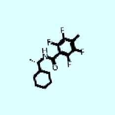 Cc1c(F)c(F)c(C(=O)N[C@@H](C)C2CCCCC2)c(F)c1F